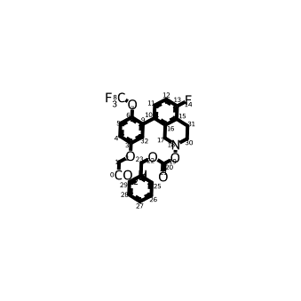 O=C(O)COc1ccc(OC(F)(F)F)c(-c2ccc(F)c3c2CN(OC(=O)OCc2ccccc2)CC3)c1